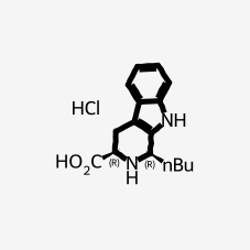 CCCC[C@H]1N[C@@H](C(=O)O)Cc2c1[nH]c1ccccc21.Cl